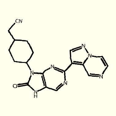 N#CCC1CCC(n2c(=O)[nH]c3cnc(-c4cnn5ccncc45)nc32)CC1